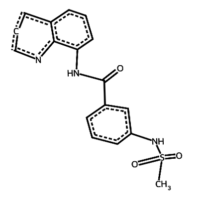 CS(=O)(=O)Nc1cccc(C(=O)Nc2cccc3cccnc23)c1